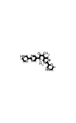 CC(C(=O)C(C)c1cnc(C2CNCCO2)nc1)c1cnc(C2CNCCO2)nc1